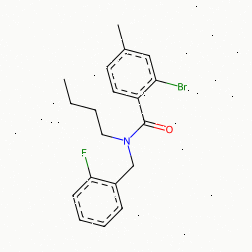 CCCCN(Cc1ccccc1F)C(=O)c1ccc(C)cc1Br